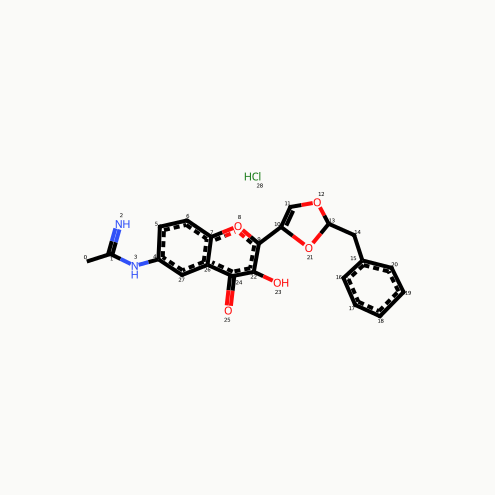 CC(=N)Nc1ccc2oc(C3=COC(Cc4ccccc4)O3)c(O)c(=O)c2c1.Cl